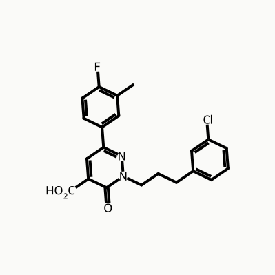 Cc1cc(-c2cc(C(=O)O)c(=O)n(CCCc3cccc(Cl)c3)n2)ccc1F